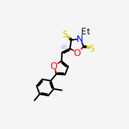 CCN1C(=S)O/C(=C\c2ccc(-c3ccc(C)cc3C)o2)C1=S